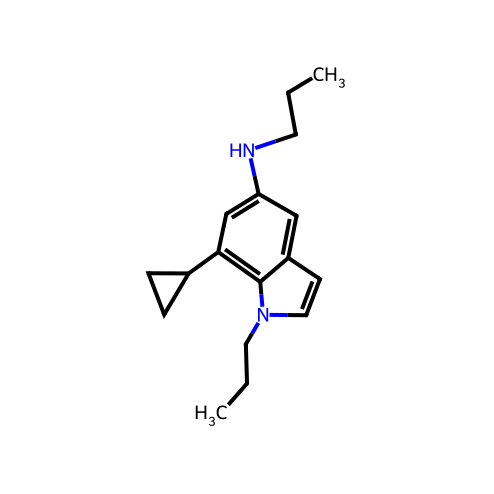 CCCNc1cc(C2CC2)c2c(ccn2CCC)c1